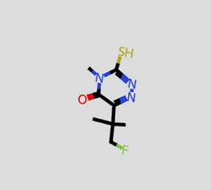 Cn1c(S)nnc(C(C)(C)CF)c1=O